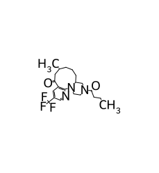 CCCC(=O)N1CCN2c3ncc(C(F)(F)F)cc3C(=O)CC(C)CCCC2C1